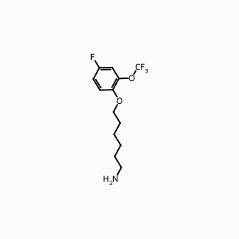 NCCCCCCOc1ccc(F)cc1OC(F)(F)F